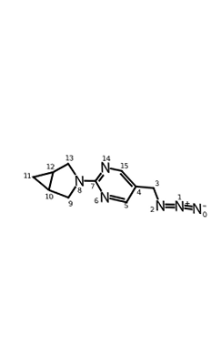 [N-]=[N+]=NCc1cnc(N2CC3CC3C2)nc1